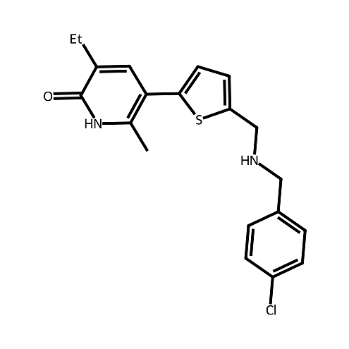 CCc1cc(-c2ccc(CNCc3ccc(Cl)cc3)s2)c(C)[nH]c1=O